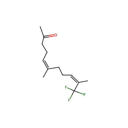 CC(=O)CCC=C(C)CCC=C(C)C(F)(F)F